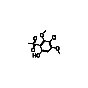 COc1cc(O)c(S(C)(=O)=O)c(OC)c1Cl